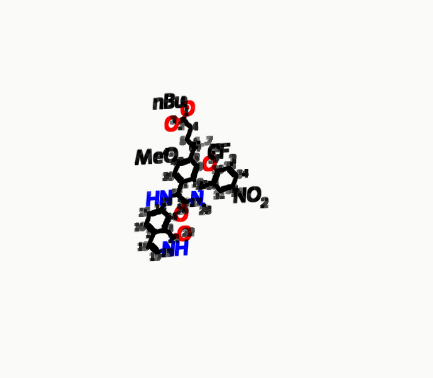 CCCCOC(=O)CC[C@H](C)c1ccc(C(Nc2ccc3cc[nH]c(=O)c3c2)C(=O)N(C)Cc2cc([N+](=O)[O-])ccc2OC(F)(F)F)cc1OC